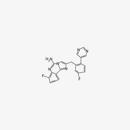 Nc1nc2c(F)cccc2c2nc(Cc3cc(F)ccc3-c3cncnc3)cn12